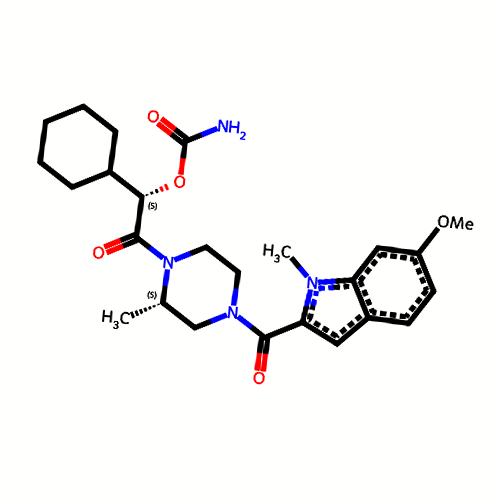 COc1ccc2cc(C(=O)N3CCN(C(=O)[C@@H](OC(N)=O)C4CCCCC4)[C@@H](C)C3)n(C)c2c1